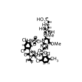 COc1cc(OC)n2nc(S(=O)(=O)Nc3c(Cl)ccc(C)c3Cl)nc2n1.Cc1nn(-c2cc(NS(C)(=O)=O)c(Cl)cc2Cl)c(=O)n1C(F)F.O=C(O)CNCP(=O)(O)O